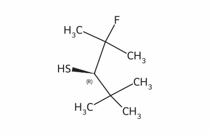 CC(C)(C)[C@@H](S)C(C)(C)F